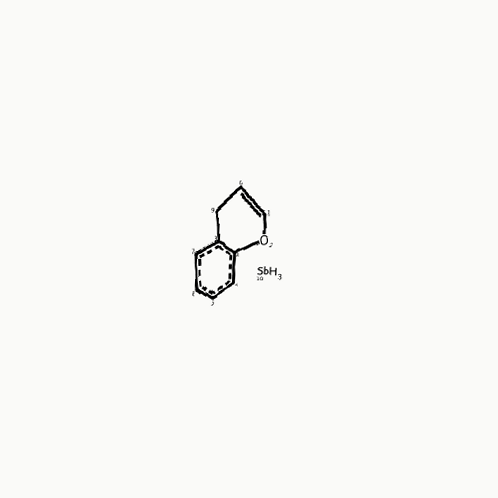 C1=COc2ccccc2C1.[SbH3]